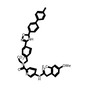 COc1ccc(CC(=O)Nc2ccc(C(=O)N(CC(=O)O)Cc3ccc(C4=NOC(c5ccc(-c6ccc(C)cc6)cc5)N4)cc3)nc2)c(C(F)(F)F)c1